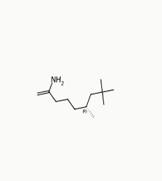 C=C(N)CCC[C@@H](C)CC(C)(C)C